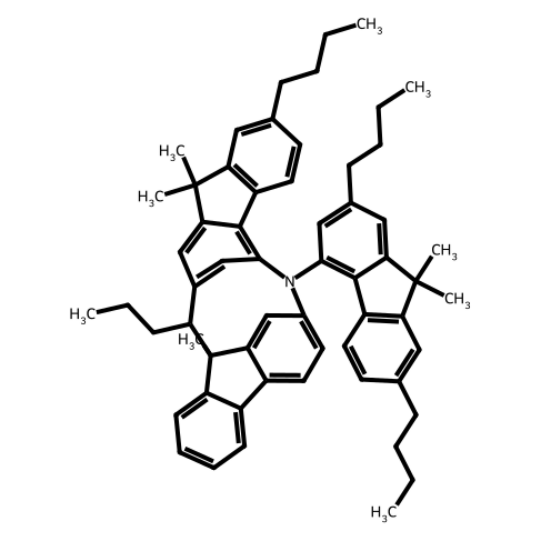 CCCCc1ccc2c(c1)C(C)(C)c1cc(CCCC)cc(N3c4ccc5c(c4)C(C)(c4ccccc4-5)C(CCC)c4cc3c3c(c4)C(C)(C)c4cc(CCCC)ccc4-3)c1-2